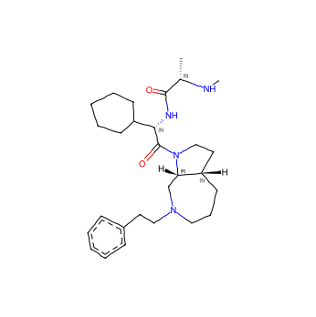 CN[C@@H](C)C(=O)N[C@H](C(=O)N1CC[C@@H]2CCCN(CCc3ccccc3)C[C@@H]21)C1CCCCC1